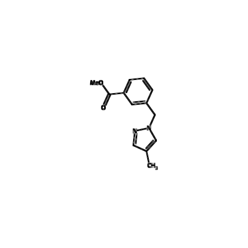 COC(=O)c1cccc(Cn2cc(C)cn2)c1